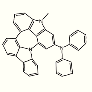 Cn1c2cccc3c4cccc5c6ccccc6n(c6cc(N(c7ccccc7)c7ccccc7)cc1c6c32)c45